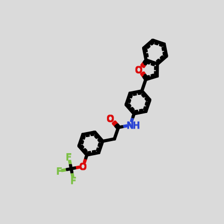 O=C(Cc1cccc(OC(F)(F)F)c1)Nc1ccc(-c2cc3ccccc3o2)cc1